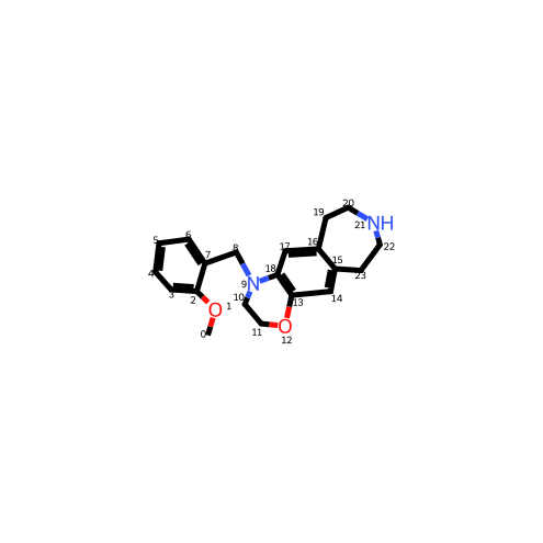 COc1ccccc1CN1CCOc2cc3c(cc21)CCNCC3